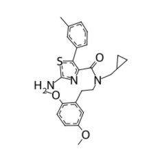 COc1ccc(OC)c(CCN(CC2CC2)C(=O)c2nc(N)sc2-c2cccc(C)c2)c1